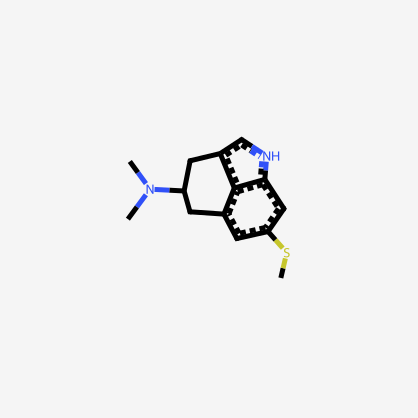 CSc1cc2c3c(c[nH]c3c1)CC(N(C)C)C2